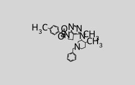 Cc1ccc(S(=O)(=O)N2CCc3c(N(C)C4CN(Cc5ccccc5)CCC4C)ncnc32)cc1